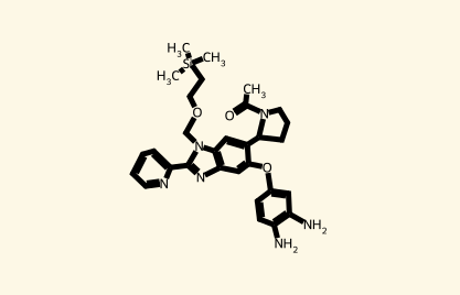 CC(=O)N1CCCC1c1cc2c(cc1Oc1ccc(N)c(N)c1)nc(-c1ccccn1)n2COCC[Si](C)(C)C